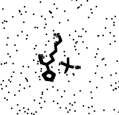 C=CC(CCCCCC)n1ccnc1.Cl.F[B-](F)(F)F